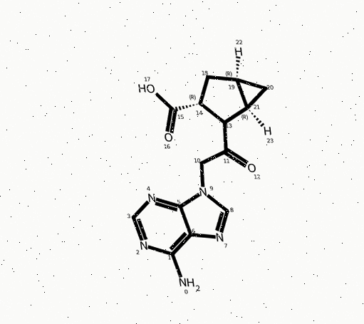 Nc1ncnc2c1ncn2CC(=O)C1[C@H](C(=O)O)C[C@H]2C[C@@H]12